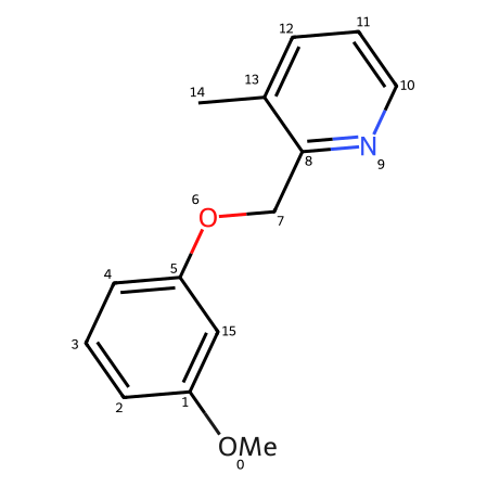 COc1cccc(OCc2ncccc2C)c1